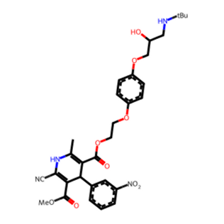 COC(=O)C1=C(C#N)NC(C)=C(C(=O)OCCOc2ccc(OCC(O)CNC(C)(C)C)cc2)C1c1cccc([N+](=O)[O-])c1